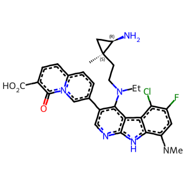 CCN(CC[C@@]1(C)C[C@H]1N)c1c(-c2ccc3ccc(C(=O)O)c(=O)n3c2)cnc2[nH]c3c(NC)cc(F)c(Cl)c3c12